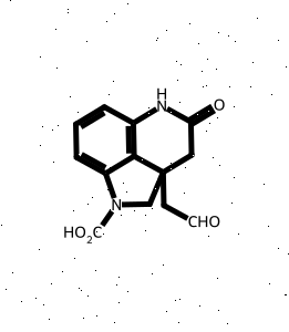 O=CCC12CC(=O)Nc3cccc(c31)N(C(=O)O)C2